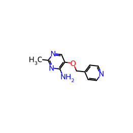 Cc1ncc(OCc2ccncc2)c(N)n1